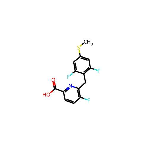 CSc1cc(F)c(Cc2nc(C(=O)O)ccc2F)c(F)c1